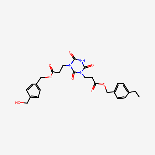 CCc1ccc(COC(=O)CCn2c(=O)[nH]c(=O)n(CCC(=O)OCc3ccc(CO)cc3)c2=O)cc1